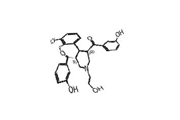 O=C(c1cccc(O)c1)[C@H]1CN(CCO)C[C@H](C(=O)c2cccc(O)c2)C1c1cccc(Cl)c1F